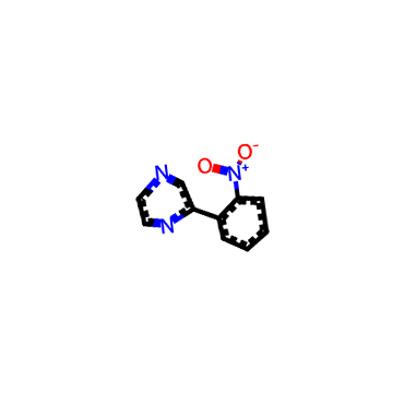 O=[N+]([O-])c1ccccc1-c1cnccn1